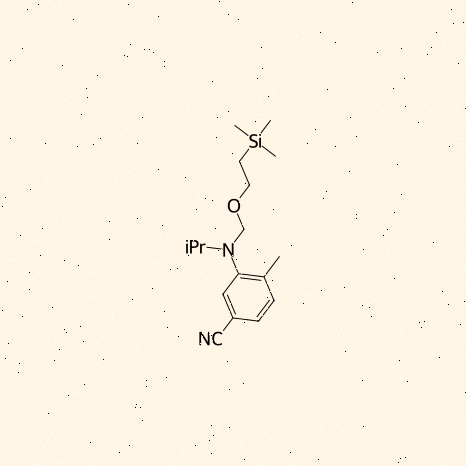 Cc1ccc(C#N)cc1N(COCC[Si](C)(C)C)C(C)C